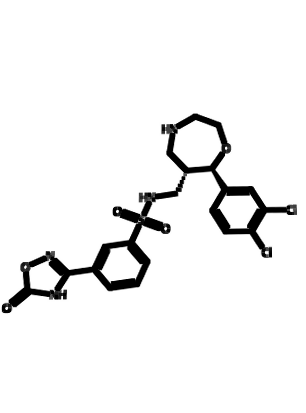 O=c1[nH]c(-c2cccc(S(=O)(=O)NC[C@@H]3CNCCO[C@H]3c3ccc(Cl)c(Cl)c3)c2)no1